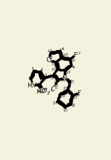 O=C(O)c1c(-c2ccc[nH]c2=O)c2c3occc3c(F)cc2n1Cc1ccccc1F